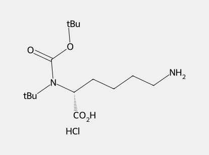 CC(C)(C)OC(=O)N([C@H](CCCCN)C(=O)O)C(C)(C)C.Cl